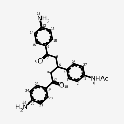 CC(=O)Nc1ccc(C(CC(=O)c2ccc(N)cc2)CC(=O)c2ccc(N)cc2)cc1